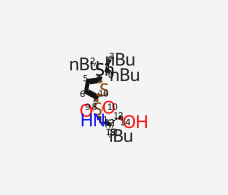 CCC[CH2][Sn]([CH2]CCC)([CH2]CCC)[c]1ccc(S(=O)(=O)N[C@H](CO)[C@@H](C)CC)s1